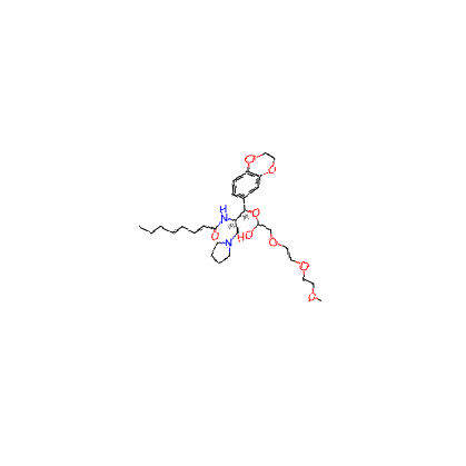 CCCCCCCC(=O)N[C@H](CN1CCCC1)[C@H](OC(O)COCCOCCOC)c1ccc2c(c1)OCCO2